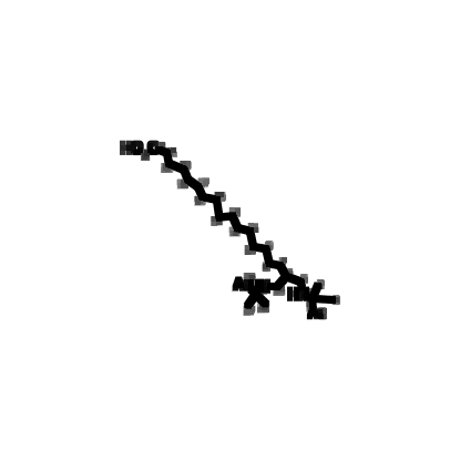 CC(=O)C(C)(C)NCC(CCCCCCCCCCCCCCCC(=O)O)CNC(C)(C)C(C)=O